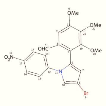 COc1cc(C=O)c(-c2cc(Br)cn2-c2ccc([N+](=O)[O-])cc2)c(OC)c1OC